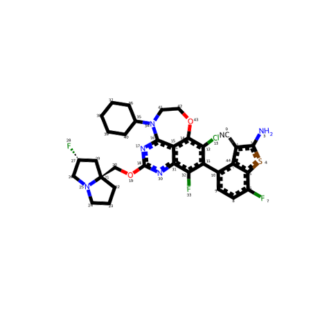 N#Cc1c(N)sc2c(F)ccc(-c3c(Cl)c4c5c(nc(OC[C@@]67CCCN6C[C@H](F)C7)nc5c3F)N(C3CCCCC3)CCO4)c12